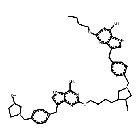 CCCCOc1nc(N)c2[nH]cc(Cc3ccc(CN4CC(F)C(CCCCOc5nc(N)c6[nH]cc(Cc7ccc(CN8CCC(O)C8)cc7)c6n5)C4)cc3)c2n1